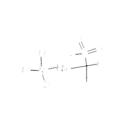 CCCCC(F)(F)S(=O)(=O)[O-].CC[N+](CC)(CC)CC